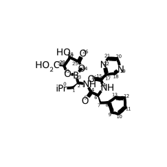 CC(C)C[C@H](NC(=O)[C@H](Cc1ccccc1)NC(=O)c1cnccn1)B1OC(=O)[C@H](O)[C@H](C(=O)O)O1